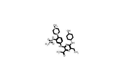 CCc1nc(C(N)=O)c(Nc2ccc(N3CCN(C)CC3)c(NS(C)(=O)=O)c2)nc1N[C@H]1CC[C@H](O)CC1